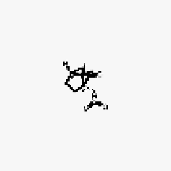 CC1(C)[C@@H]2CC[C@]1(C[SH](=O)=O)C(=O)C2